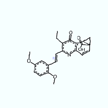 CCc1c(/C=C/c2cc(OC)ccc2OC)nc2n(c1=O)C1CC1(C(=O)O)C=C2